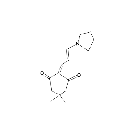 CC1(C)CC(=O)C(=C/C=C/N2CCCC2)C(=O)C1